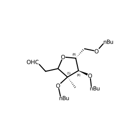 CCCCOC[C@H]1OC(CC=O)[C@](C)(OCCCC)[C@@H]1OCCCC